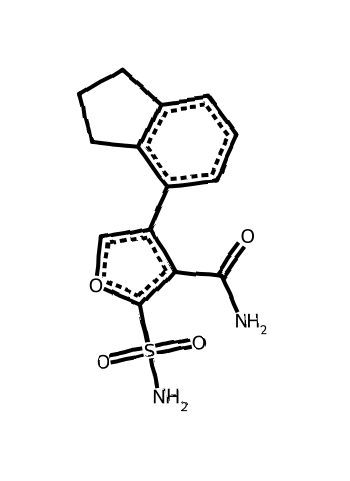 NC(=O)c1c(-c2cccc3c2CCC3)coc1S(N)(=O)=O